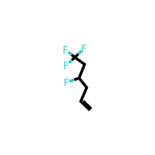 C=CCC(F)CC(F)(F)F